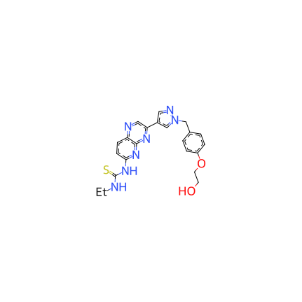 CCNC(=S)Nc1ccc2ncc(-c3cnn(Cc4ccc(OCCO)cc4)c3)nc2n1